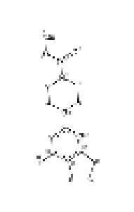 CC(C)(C)OC(=O)N1CCN(c2cc(Cl)c3c(n2)CCC3)CC1